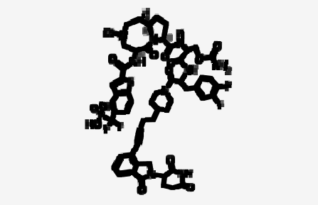 CCN1CC[C@H]2CC[C@@H](C(=O)NC(COC(N)=O)C(=O)NC(Cc3ccc(F)c(F)c3)C(=O)N3CCC(CCC#Cc4cccc5c4CN(C4CCC(=O)NC4=O)C5=O)CC3)N2C(=O)[C@@H](NC(=O)c2cc3cc(C(F)(F)P(=O)(O)O)ccc3s2)C1